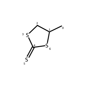 CC1CSC(=S)S1